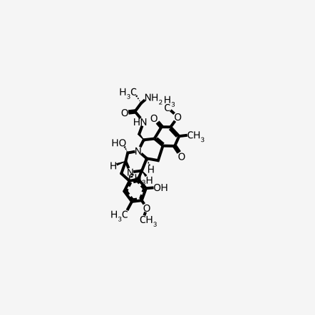 COC1=C(C)C(=O)C2=C(C1=O)[C@H](CNC(=O)[C@H](C)N)N1[C@@H](O)[C@H]3Cc4cc(C)c(OC)c(O)c4[C@@H]([C@@H]1C2)N3C